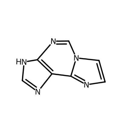 c1cn2cnc3[nH]cnc3c2n1